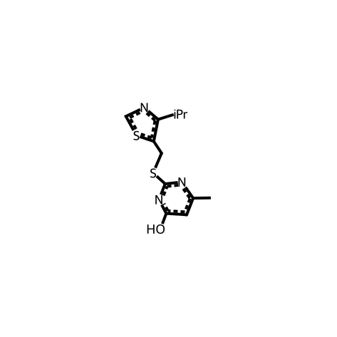 Cc1cc(O)nc(SCc2scnc2C(C)C)n1